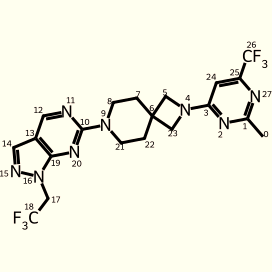 Cc1nc(N2CC3(CCN(c4ncc5cnn(CC(F)(F)F)c5n4)CC3)C2)cc(C(F)(F)F)n1